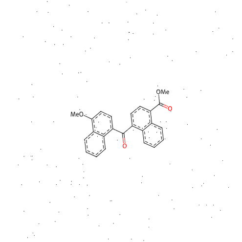 COC(=O)c1ccc(C(=O)c2ccc(OC)c3ccccc23)c2ccccc12